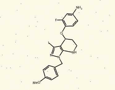 COc1ccc(Cn2nc(I)c3c2NCCC3Oc2ccc(N)cc2F)cc1